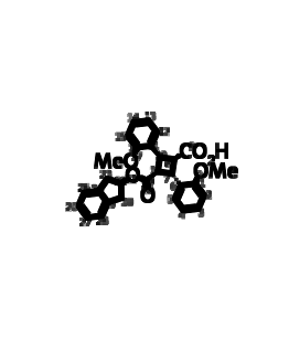 COc1ccccc1[C@H]1[C@H](C(=O)O)[C@H](c2ccccc2OC)[C@@H]1C(=O)OC1Cc2ccccc2C1